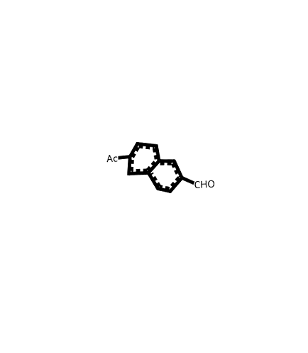 CC(=O)c1ccc2cc(C=O)ccc2c1